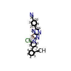 C#Cc1ccccc1C1=CCN(c2nc3ncc(-c4ccc(C#N)cc4)nc3s2)C(Cl)=C1